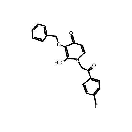 Cc1c(OCc2ccccc2)c(=O)ccn1CC(=O)c1ccc(F)cc1